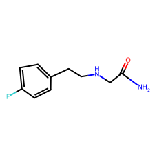 NC(=O)CNCCc1ccc(F)cc1